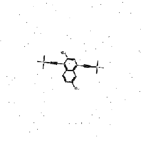 CC(C)(C)c1ccc2c(C#C[Si](C)(C)C)c(C(C)(C)C)cc(C#C[Si](C)(C)C)c2c1